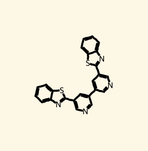 c1ccc2sc(-c3cncc(-c4cncc(-c5nc6ccccc6s5)c4)c3)nc2c1